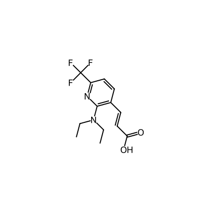 CCN(CC)c1nc(C(F)(F)F)ccc1C=CC(=O)O